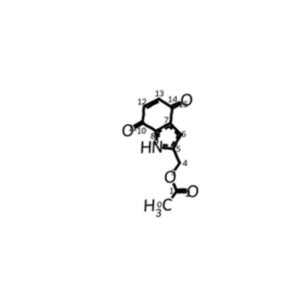 CC(=O)OCc1cc2c([nH]1)C(=O)C=CC2=O